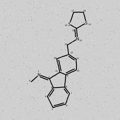 C/N=C1\c2ccccc2-c2ccc(CN=C3SCCS3)cc21